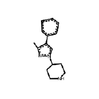 Cc1nn(C2CCNCC2)cc1-c1ccccc1